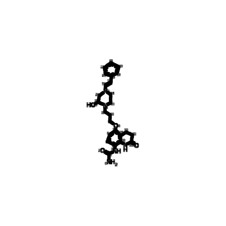 NC(=O)Nc1ccc(OCCCN2CCN(C=Cc3ccccc3)CC2O)c2c1NC(=O)CC2